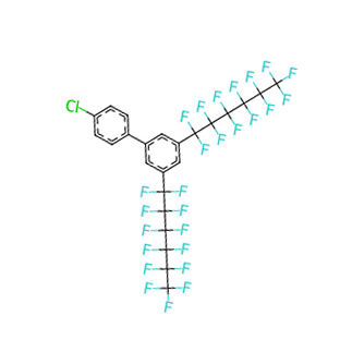 FC(F)(F)C(F)(F)C(F)(F)C(F)(F)C(F)(F)C(F)(F)c1cc(-c2ccc(Cl)cc2)cc(C(F)(F)C(F)(F)C(F)(F)C(F)(F)C(F)(F)C(F)(F)F)c1